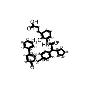 Cc1c(CCC(=O)O)cccc1NC(=O)C(c1ccc(Cn2nc(-c3ccccc3)ccc2=O)cc1)C1CCCC1